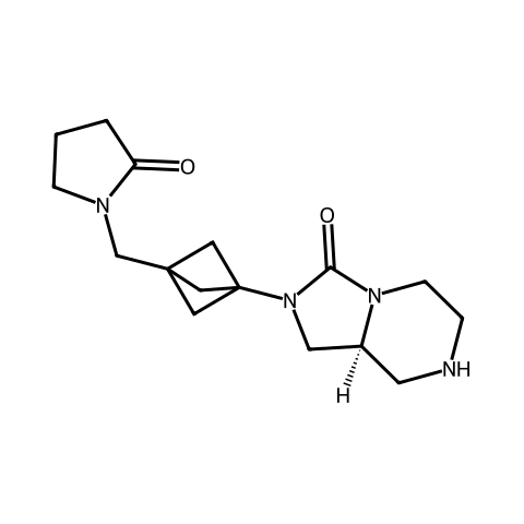 O=C1CCCN1CC12CC(N3C[C@@H]4CNCCN4C3=O)(C1)C2